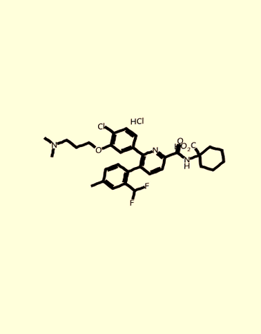 Cc1ccc(-c2ccc(C(=O)NC3(C(=O)O)CCCCC3)nc2-c2ccc(Cl)c(OCCCN(C)C)c2)c(C(F)F)c1.Cl